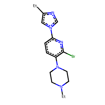 CCc1cn(-c2ccc(N3CCN(CC)CC3)c(Br)n2)cn1